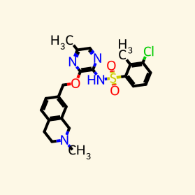 Cc1cnc(NS(=O)(=O)c2cccc(Cl)c2C)c(OCc2ccc3c(c2)CN(C)CC3)n1